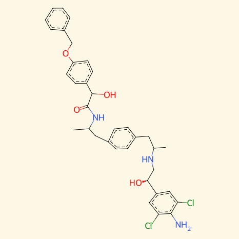 CC(Cc1ccc(CC(C)NC(=O)C(O)c2ccc(OCc3ccccc3)cc2)cc1)NC[C@H](O)c1cc(Cl)c(N)c(Cl)c1